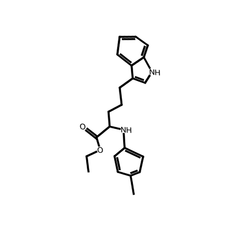 CCOC(=O)C(CCCc1c[nH]c2ccccc12)Nc1ccc(C)cc1